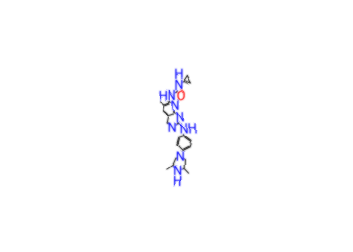 Cc1cc2cnc(Nc3ccc(N4CC(C)NC(C)C4)cc3)nc2nc1NC(=O)NC1CC1